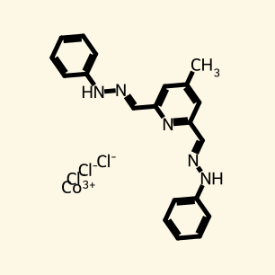 Cc1cc(C=NNc2ccccc2)nc(C=NNc2ccccc2)c1.[Cl-].[Cl-].[Cl-].[Co+3]